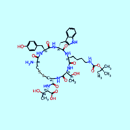 C[C@@H](O)[C@H](NC(=O)[C@@H]1CSSC[C@H](N)C(=O)N[C@@H](Cc2ccc(O)cc2)C(=O)N[C@H](Cc2c[nH]c3ccccc23)C(=O)N[C@@H](CCCCNC(=O)OC(C)(C)C)C(=O)N[C@@H]([C@@H](C)O)C(=O)N1)C(=O)O